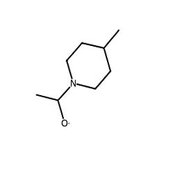 CC1CCN(C(C)[O])CC1